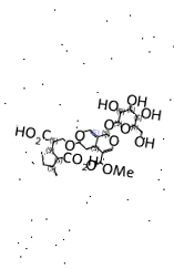 C/C=C1/[C@H](O[C@@H]2O[C@H](CO)[C@@H](O)[C@H](O)[C@H]2O)OC=C(C(=O)OC)[C@H]1CC(=O)OC[C@@H](C(=O)O)[C@H]1CC[C@H](C)[C@@H]1C(=O)O